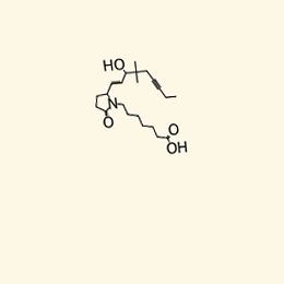 CCC#CCC(C)(C)C(O)C=CC1CCC(=O)N1CCCCCCC(=O)O